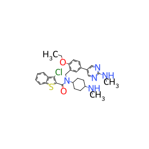 CCOc1ccc(-c2cnc(NC)nc2)cc1CN(C(=O)c1sc2ccccc2c1Cl)C1CCC(NC)CC1